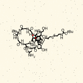 CC[C@H](C)[C@@H]1NC(=O)CNC(=O)C2Cc3c([nH]c4cc(OCCCSSCCNC(=O)OC(C)(C)C)ccc34)[S@+]([O-])CC(NC(=O)CNC1=O)C(=O)N[C@@H](CC(N)=O)C(=O)N1CC(O)C[C@H]1C(=O)N[C@@H]([C@@H](C)[C@@H](O)CO)C(=O)N2